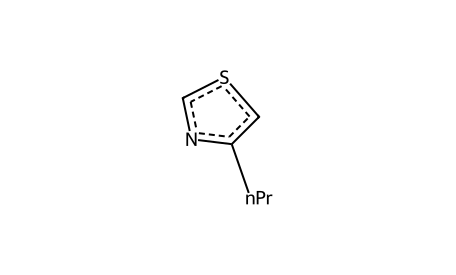 [CH2]CCc1cscn1